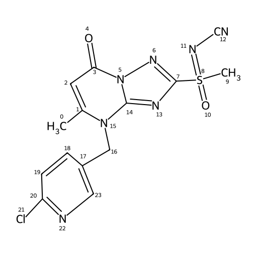 Cc1cc(=O)n2nc(S(C)(=O)=NC#N)nc2n1Cc1ccc(Cl)nc1